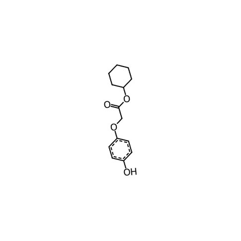 O=C(COc1ccc(O)cc1)OC1CCCCC1